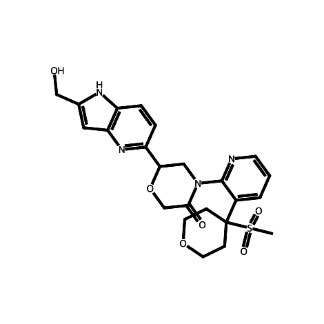 CS(=O)(=O)C1(c2cccnc2N2CC(c3ccc4[nH]c(CO)cc4n3)OCC2=O)CCOCC1